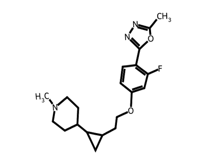 Cc1nnc(-c2ccc(OCCC3CC3C3CCN(C)CC3)cc2F)o1